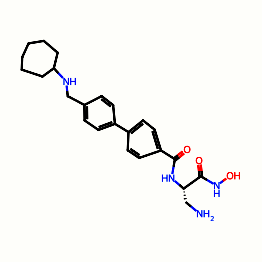 NC[C@H](NC(=O)c1ccc(-c2ccc(CNC3CCCCCC3)cc2)cc1)C(=O)NO